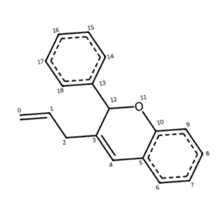 C=CCC1=Cc2ccccc2OC1c1ccccc1